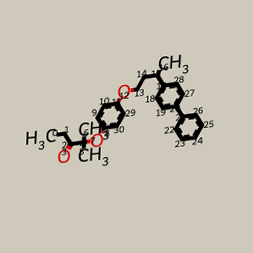 CCC(=O)C(C)(C)Oc1ccc(OCCC(C)c2ccc(-c3ccccc3)cc2)cc1